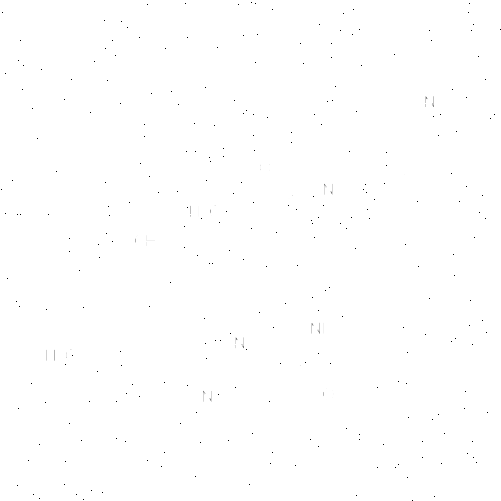 CCCC(CCC)c1ncc2c(=O)[nH]c3cc(C(=O)N4CCc5ccncc5C4)c(C)cc3n12